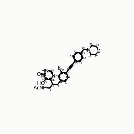 CC(=O)NCC(Cc1ccc(C#Cc2ccc(CN3CCOCC3)cc2)c(F)c1)c1nc[nH]c(=O)c1O